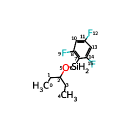 CCC(CC)O[SiH2]c1c(F)cc(F)cc1F